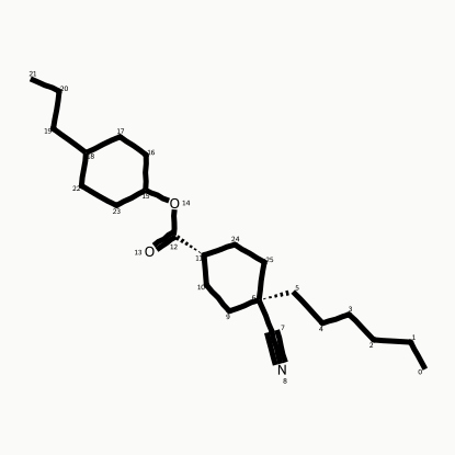 CCCCCC[C@]1(C#N)CC[C@H](C(=O)OC2CCC(CCC)CC2)CC1